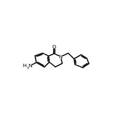 Nc1ccc2c(c1)CCN(Cc1ccccc1)C2=O